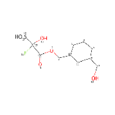 O=C(OCC1CCCC(CO)C1)C(O)(F)S(=O)(=O)O